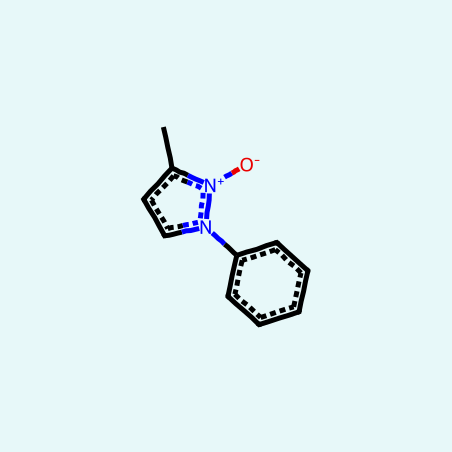 Cc1ccn(-c2ccccc2)[n+]1[O-]